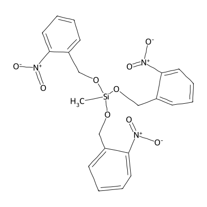 C[Si](OCc1ccccc1[N+](=O)[O-])(OCc1ccccc1[N+](=O)[O-])OCc1ccccc1[N+](=O)[O-]